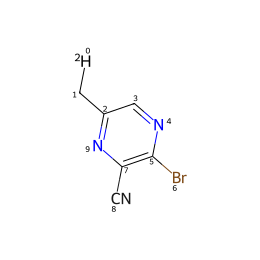 [2H]Cc1cnc(Br)c(C#N)n1